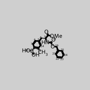 COC(=O)[C@H](Cc1ccc(B(O)O)c(C)c1)NC(=O)OCc1ccccc1